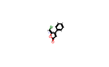 O=C1C=C(c2ccccc2)/C(=C\Br)O1